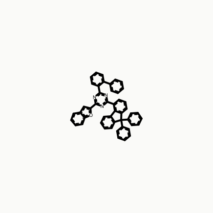 c1ccc(-c2ccccc2-c2nc(-c3cc4ccccc4o3)nc(-c3cccc4c3-c3ccccc3C4(c3ccccc3)c3ccccc3)n2)cc1